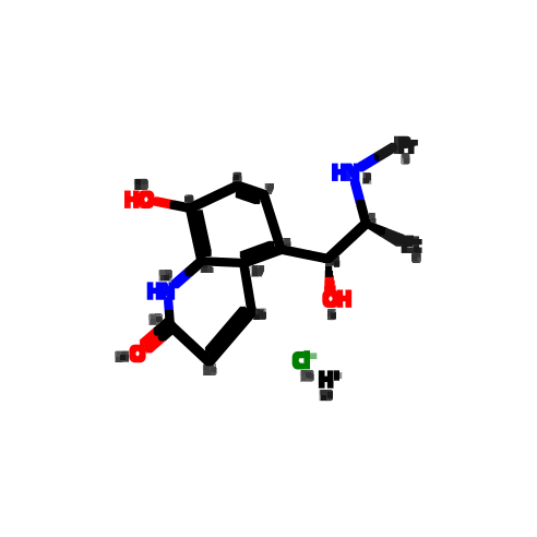 CC[C@H](NC(C)C)[C@H](O)c1ccc(O)c2[nH]c(=O)ccc12.[Cl-].[H+]